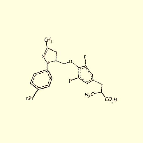 CCCc1ccc(N2N=C(C)CC2COc2c(F)cc(CC(C)C(=O)O)cc2F)cc1